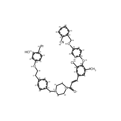 Cc1cc(/C=C/C(=O)N2CCN(Cc3ccc(CCOc4ccc(C(C)C)cc4)cc3)CC2)cc(Cl)c1Oc1ccc(OCc2ccccc2C#N)cn1.Cl